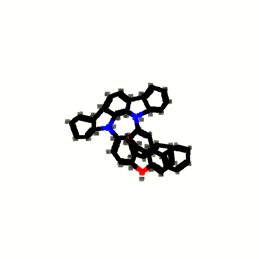 C1=C(c2ccccc2)C=C(n2c3ccccc3c3ccc4c5ccccc5n(-c5ccc6oc7ccccc7c6c5)c4c32)CC1